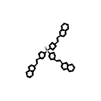 O=P(c1ccc(/C=C/c2ccc3ccccc3c2)cc1)(c1ccc(/C=C/c2ccc3ccccc3c2)cc1)c1ccc(/C=C/c2ccc3ccccc3c2)cc1